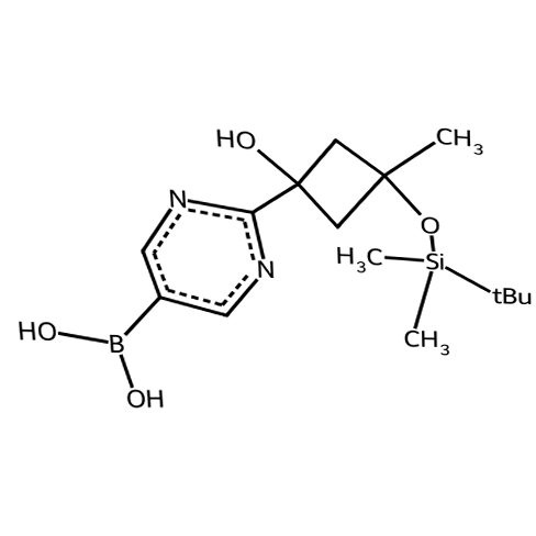 CC1(O[Si](C)(C)C(C)(C)C)CC(O)(c2ncc(B(O)O)cn2)C1